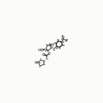 O=C(C[C@@H]1CCNC1)O[C@@H]1[C@@H](O)CN[C@@H]1Cc1ccc(C(F)F)cc1